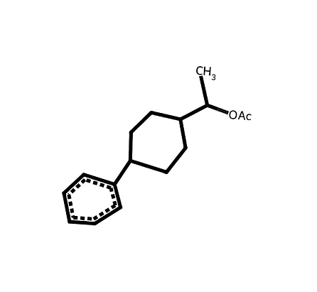 CC(=O)OC(C)C1CCC(c2ccccc2)CC1